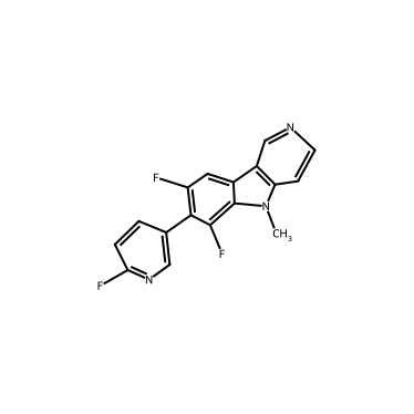 Cn1c2ccncc2c2cc(F)c(-c3ccc(F)nc3)c(F)c21